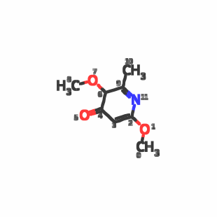 COC1=CC(=O)C(OC)C(C)=N1